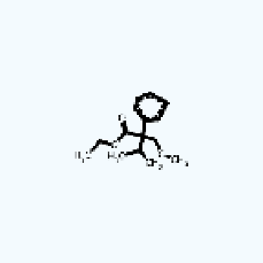 CCOC(=O)C(COC)(c1ccccc1)C(C)C